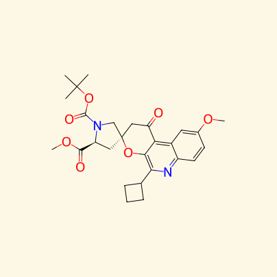 COC(=O)[C@@H]1C[C@@]2(CC(=O)c3c(c(C4CCC4)nc4ccc(OC)cc34)O2)CN1C(=O)OC(C)(C)C